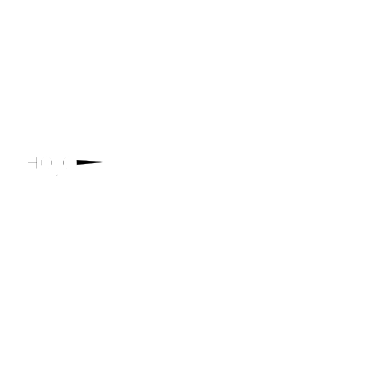 O=C(O)[C@H]1CC[C@H](c2ccccc2)CC1